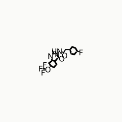 Cc1nc2cc(OC(F)(F)F)ccc2c(=O)n1NC(=O)Cc1ccc(F)cc1